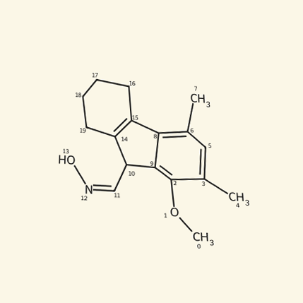 COc1c(C)cc(C)c2c1C(/C=N\O)C1=C2CCCC1